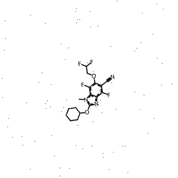 Cn1c(OC2CCCCC2)nc2c(F)c(C#N)c(OCC(F)F)c(F)c21